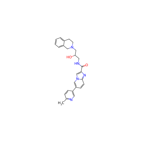 Cc1ccc(-c2ccc3nc(C(=O)NCC(O)CN4CCc5ccccc5C4)cn3c2)cn1